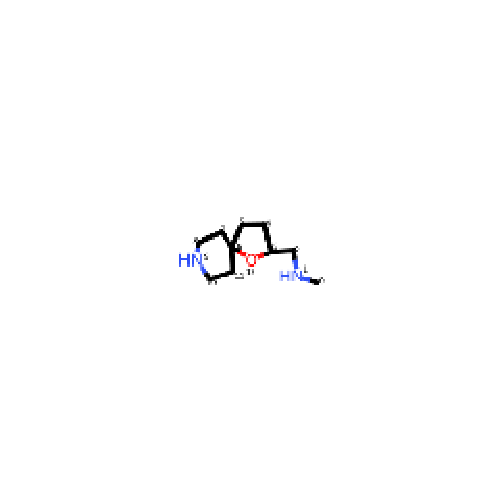 CNCC1CCC2(CCNCC2)O1